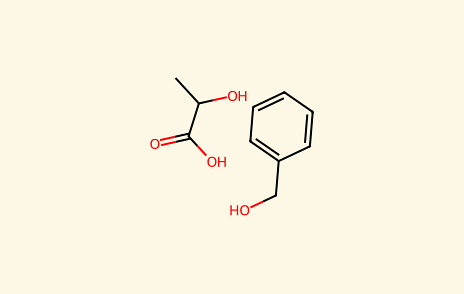 CC(O)C(=O)O.OCc1ccccc1